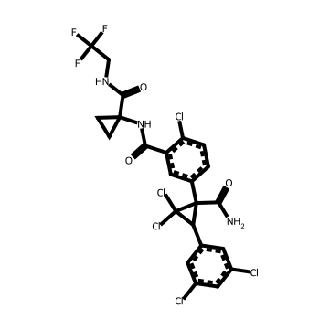 NC(=O)C1(c2ccc(Cl)c(C(=O)NC3(C(=O)NCC(F)(F)F)CC3)c2)C(c2cc(Cl)cc(Cl)c2)C1(Cl)Cl